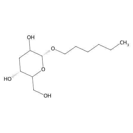 CCCCCCO[C@@H]1OC(CO)[C@H](O)CC1O